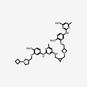 CNc1cc(C)nc(Nc2ccc(OC)c(OCC3CN(CC4CC4CNc4cc(C)nc(Nc5ccc(OC)c(OCC6CCN(C7CCC7)C6)c5)n4)C3)c2)n1